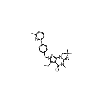 CCc1c2c(nn1Cc1ccc(-c3cccc(C)n3)cc1)N1CC(C)(C)N=C1N(C)C2=O